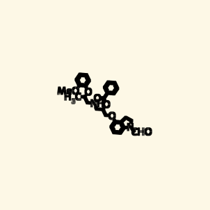 COc1ccccc1OC(C)CNCC(COc1cccc2c1CCN2C=O)OC(=O)c1ccccc1